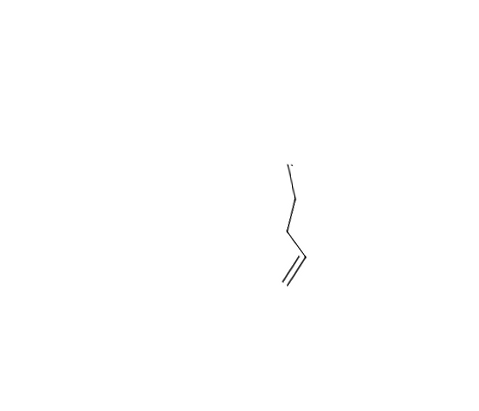 [CH2]CCC=C